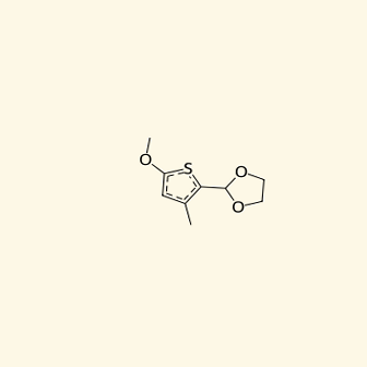 COc1cc(C)c(C2OCCO2)s1